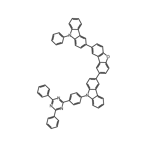 c1ccc(-c2nc(-c3ccccc3)nc(-c3ccc(-n4c5ccccc5c5cc(-c6ccc7oc8ccc(-c9ccc%10c(c9)c9ccccc9n%10-c9ccccc9)cc8c7c6)ccc54)cc3)n2)cc1